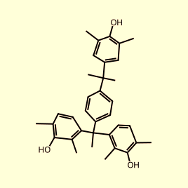 Cc1cc(C(C)(C)c2ccc(C(C)(c3ccc(C)c(O)c3C)c3ccc(C)c(O)c3C)cc2)cc(C)c1O